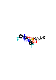 CNS(=O)(=O)c1cn(NC(=O)c2cnc(-c3cccc(F)c3)nc2)c2ccc(F)cc12